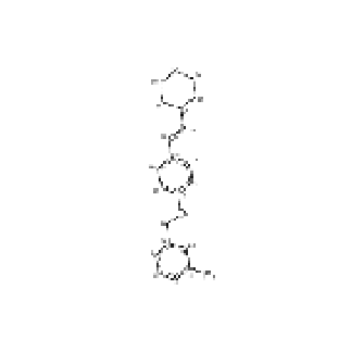 Fc1cccc(COc2ccc(C=NC3CCCCC3)cc2)c1